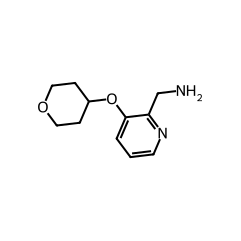 NCc1ncccc1OC1CCOCC1